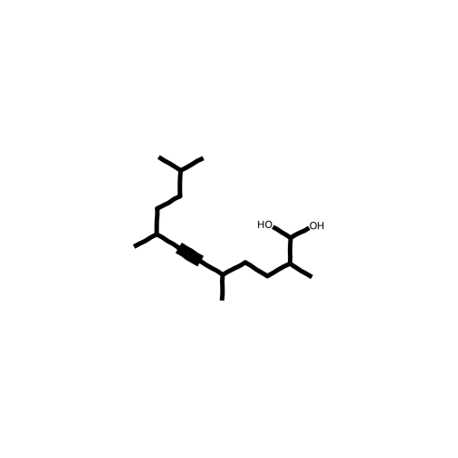 CC(C)CCC(C)C#CC(C)CCC(C)C(O)O